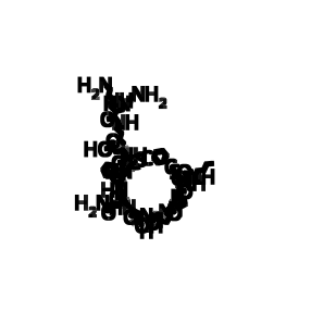 CCCCNC(=O)N[C@H]1CSCc2cccc(c2)CSC[C@@H](C(=O)N[C@@H](CCCCNC(=O)C(CNCCN)CNCCN)CC(=O)O)NC(=O)[C@H](Cc2ccccc2)NC(=O)[C@H](CCC(N)=O)NC(=O)[C@H]([C@@H](C)O)NC(=O)[C@@H]2CCCN2C(=O)[C@@H]2CCCN2C1=O